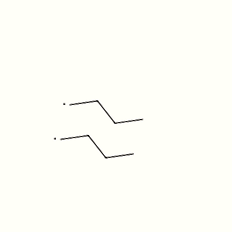 [CH2]CCC.[CH2]CCC